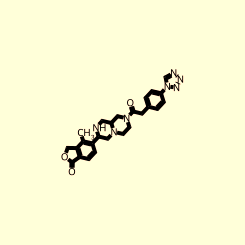 Cc1c(C2CN3CCN(C(=O)Cc4ccc(-n5cnnn5)cc4)CC3CN2)ccc2c1COC2=O